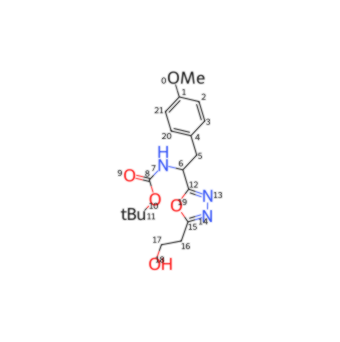 COc1ccc(CC(NC(=O)OC(C)(C)C)c2nnc(CCO)o2)cc1